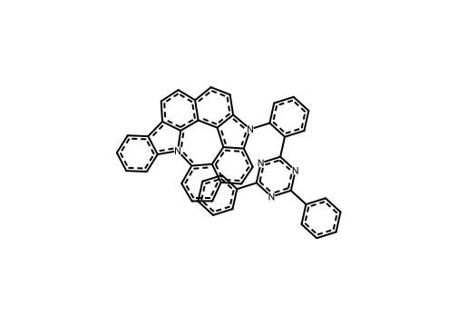 c1ccc(-c2nc(-c3ccccc3)nc(-c3ccccc3-n3c4ccc5cccc6c5c4c4c5c(ccc7c8ccccc8n6c75)ccc43)n2)cc1